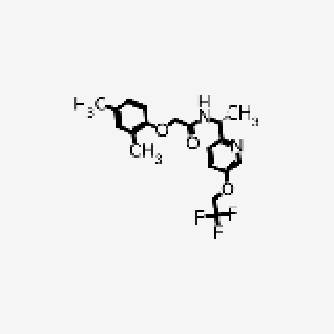 Cc1ccc(OCC(=O)N[C@H](C)c2ccc(OCC(F)(F)F)cn2)c(C)c1